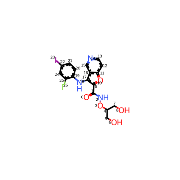 O=C(NOC(CO)CO)c1oc2ccncc2c1Nc1ccc(I)cc1F